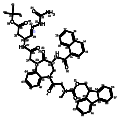 CN(CC(=O)N1C[C@H](NC(=O)c2cccc3ccccc23)C(=O)N(CC(=O)N[C@H](/C=N/NC(N)=O)CC(=O)OC(C)(C)C)c2ccccc21)C(=O)OCC1c2ccccc2-c2ccccc21